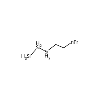 CCCCC[SiH2][SiH2][SiH3]